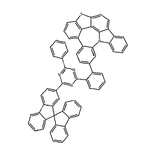 c1ccc(-c2nc(-c3ccc4c(c3)C3(c5ccccc5-c5ccccc53)c3ccccc3-4)nc(-c3ccccc3-c3ccc4c5cccc6sc7ccc8c9ccccc9n(c4c3)c8c7c65)n2)cc1